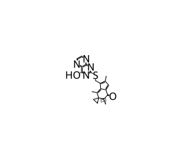 CC1=C(CSc2nc(O)c3nccnc3n2)C2=C(C)C3(CC3)[C@H](C)C(=O)C2=C1